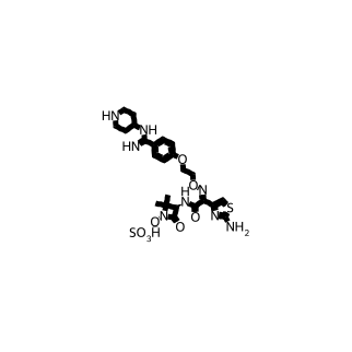 CC1(C)[C@H](NC(=O)/C(=N\OCCOc2ccc(C(=N)NC3CCNCC3)cc2)c2csc(N)n2)C(=O)N1OS(=O)(=O)O